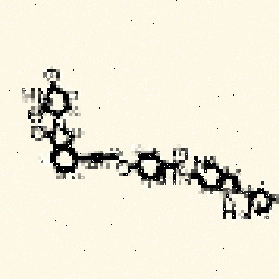 CN1CCC[C@@H]1c1cc2cnc(NC(=O)c3ccc(OCC#Cc4cccc5c4CN(C4CCC(=O)NC4=O)C5=O)cc3)cc2[nH]1